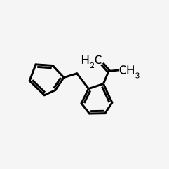 C=C(C)c1ccccc1Cc1ccccc1